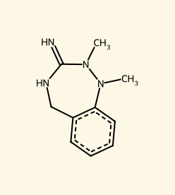 CN1C(=N)NCc2ccccc2N1C